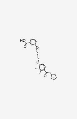 Cc1c(OCCCCOc2cccc(C(=O)O)c2)ccc(C(=O)CC2CCCC2)c1C